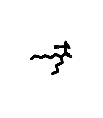 CCCCCCC(CCCC)C(=O)C1(O)CC1